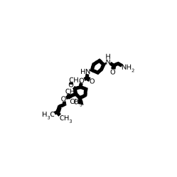 COC1C(OC(=O)N[C@H]2CC[C@H](NC(=O)CN)CC2)CCC2(CO2)C1C(C)(C)OCC=C(C)C